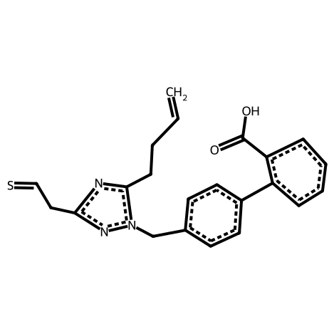 C=CCCc1nc(CC=S)nn1Cc1ccc(-c2ccccc2C(=O)O)cc1